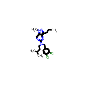 CCCc1nn(C)c2cnc(N(CCC(C)C)Cc3ccc(Cl)c(Cl)c3)nc12